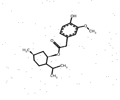 COc1cc(CC(=O)O[C@@H]2C[C@H](C)CCC2C(C)C)ccc1O